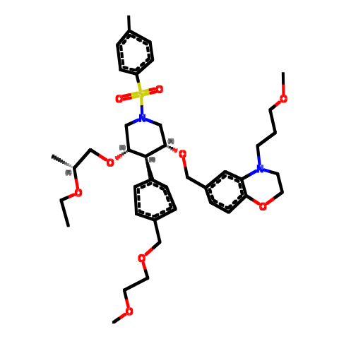 CCO[C@H](C)CO[C@@H]1CN(S(=O)(=O)c2ccc(C)cc2)C[C@H](OCc2ccc3c(c2)N(CCCOC)CCO3)[C@H]1c1ccc(COCCOC)cc1